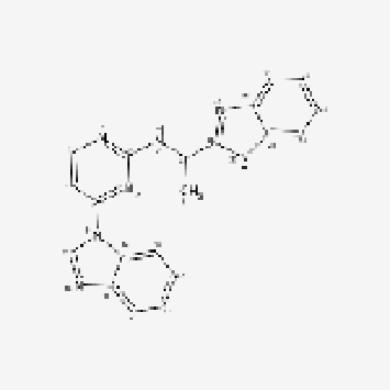 CC(Nc1nccc(-n2cnc3ccccc32)n1)c1nc2ccccc2[nH]1